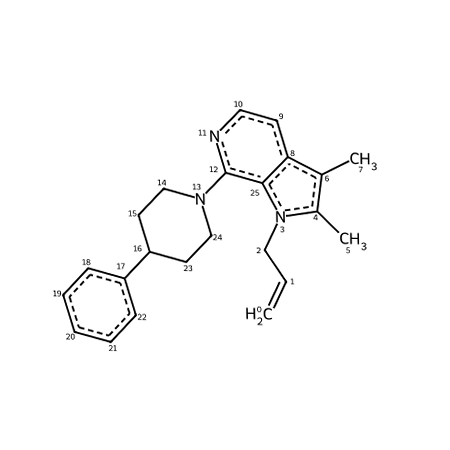 C=CCn1c(C)c(C)c2ccnc(N3CCC(c4ccccc4)CC3)c21